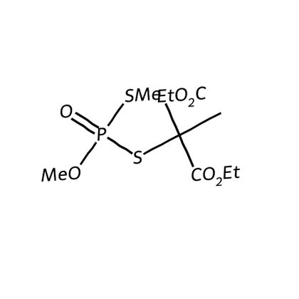 CCOC(=O)C(C)(SP(=O)(OC)SC)C(=O)OCC